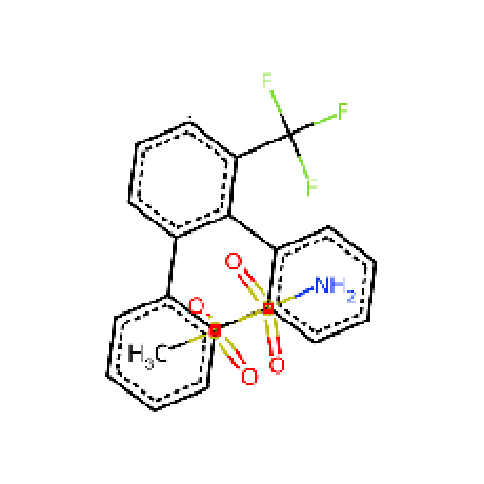 CS(=O)(=O)c1ccccc1-c1c(C(F)(F)F)[c]ccc1-c1ccccc1S(N)(=O)=O